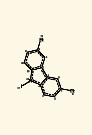 CCc1ccc2c(c1)c1cc(CC)ccc1n2I